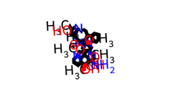 CCC1(O)C[C@H]2C[N@](CCc3c([nH]c4ccccc34)[C@@](C(=O)OC)(c3cc4c(cc3OC)N(C)C3[C@]45CCN4CC=C[C@](CC)(C45)[C@@H](O)[C@]3(O)C(N)=O)C2)C1